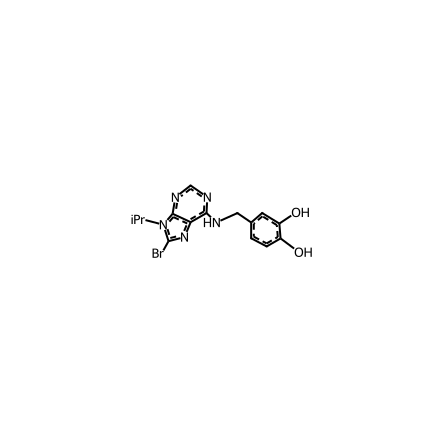 CC(C)n1c(Br)nc2c(NCc3ccc(O)c(O)c3)ncnc21